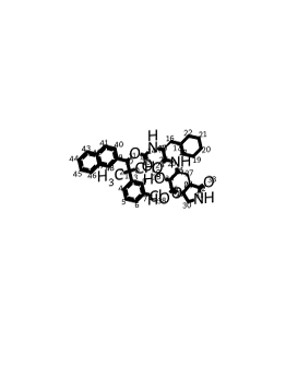 CC(C)(c1cccc(Cl)c1)C(OC(=O)N[C@@H](CC1CCCCC1)C(=O)N[C@@H](C[C@@H]1CCNC1=O)C(O)C(=O)O)c1ccc2ccccc2c1